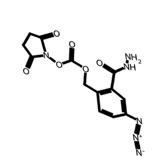 [N-]=[N+]=Nc1ccc(COC(=O)ON2C(=O)CCC2=O)c(C(=O)NN)c1